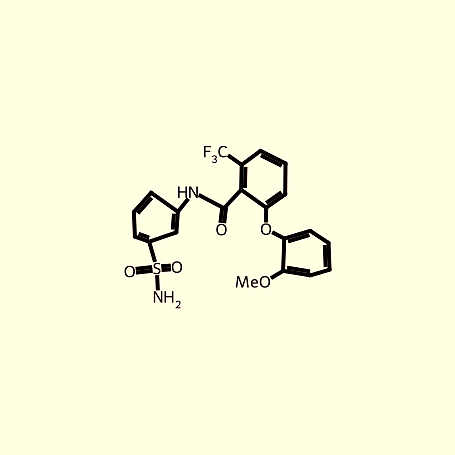 COc1ccccc1Oc1cccc(C(F)(F)F)c1C(=O)Nc1cccc(S(N)(=O)=O)c1